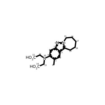 Cc1cc2c3n(nc2cc1N(CC(=O)O)CC(=O)O)CCCCC3